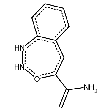 C=C(N)c1cc2ccccc2[nH][nH]o1